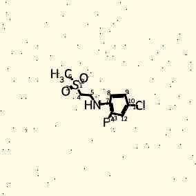 CS(=O)(=O)CCNc1ccc(Cl)cc1F